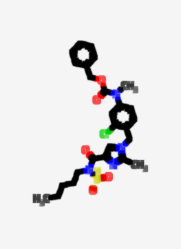 CCCCCN(C(=O)c1cn(Cc2ccc(N(C)C(=O)OCc3ccccc3)cc2Cl)c(C)n1)[SH](=O)=O